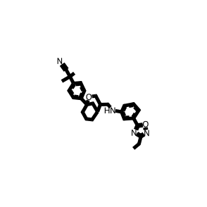 CCc1noc(-c2cccc(NCC3COC4(c5ccc(C(C)(C)C#N)cc5)CCCC3C4)c2)n1